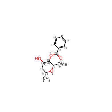 COC1O[C@H](C)C[C@@H](O)[C@H]1OC(=O)c1ccccc1